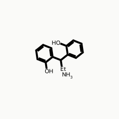 CCC(c1ccccc1O)c1ccccc1O.N